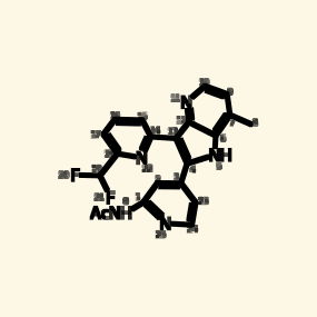 CC(=O)Nc1cc(-c2[nH]c3c(C)ccnc3c2-c2cccc(C(F)F)n2)ccn1